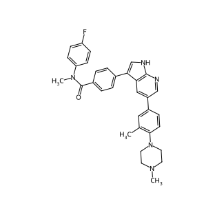 Cc1cc(-c2cnc3[nH]cc(-c4ccc(C(=O)N(C)c5ccc(F)cc5)cc4)c3c2)ccc1N1CCN(C)CC1